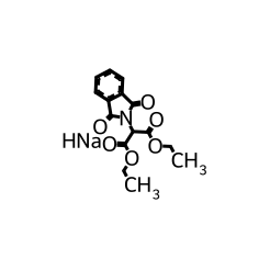 CCOC(=O)C(C(=O)OCC)N1C(=O)c2ccccc2C1=O.[NaH]